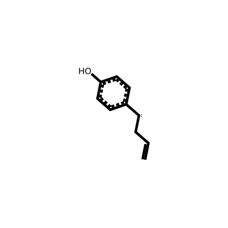 C=CC[C]c1ccc(O)cc1